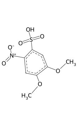 COc1cc([N+](=O)[O-])c(S(=O)(=O)O)cc1OC